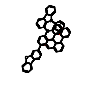 c1ccc(-c2cccc3cccc(-c4ccccc4N(c4ccc(-c5ccc6c(c5)oc5ccccc56)cc4)c4cccc5c6ccccc6n(-c6ccccc6)c45)c23)cc1